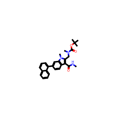 CNC(=O)c1c(CN(C)C(=O)OC(C)(C)C)n(C)c2cc(-c3cccc4ccccc34)ccc12